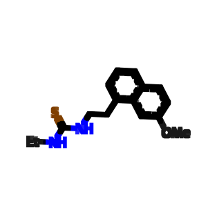 CCNC(=S)NCCc1cccc2ccc(OC)cc12